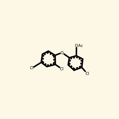 CC(=O)Oc1cc(Cl)ccc1Oc1ccc(Cl)cc1Cl